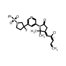 C=C/C=C(Cl)\C=C1/CC(=O)N(c2cncc(C3(F)CCN(S(=O)(=O)C(C)C)C3)c2)C1(C)C